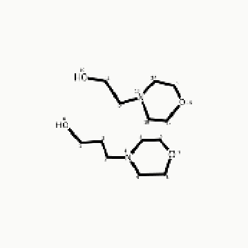 OCCCN1CCOCC1.OCCN1CCOCC1